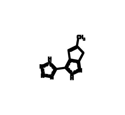 CC1=Cc2c(n[nH]c2-c2nnn[nH]2)C1